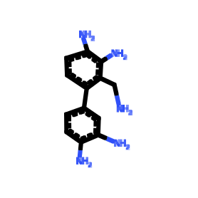 NCc1c(-c2ccc(N)c(N)c2)ccc(N)c1N